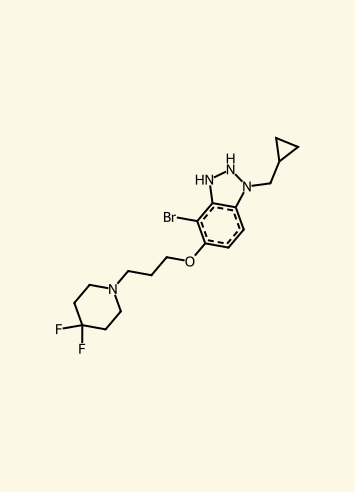 FC1(F)CCN(CCCOc2ccc3c(c2Br)NNN3CC2CC2)CC1